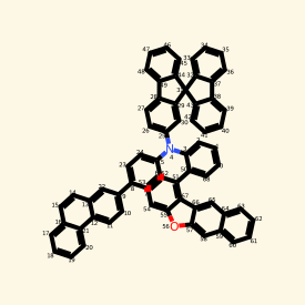 c1ccc(N(c2ccc(-c3ccc4c(ccc5ccccc54)c3)cc2)c2ccc3c(c2)C2(c4ccccc4-c4ccccc42)c2ccccc2-3)c(-c2cccc3oc4cc5ccccc5cc4c23)c1